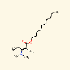 CCCCCCCCCCOC(=O)/C(C)=C(\CC)N(C)C